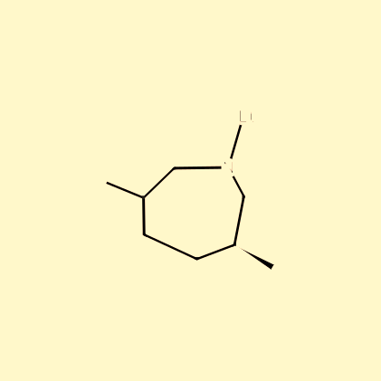 CCN1CC(C)CC[C@H](C)C1